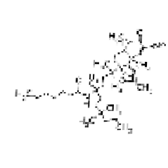 CCCCCCC(=O)N[C@@](C)(CCC(C)(C)CCC)CCC(C)(C)[C@]1(C)CC[C@H]2[C@H](C)C(=O)C(C#N)=C[C@]2(C)/C1=C/C(C)=O